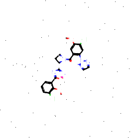 COc1cc(C(=O)N2CC[C@H]2c2noc(-c3cccc(Cl)c3OC)n2)c(-n2nccn2)cc1Cl